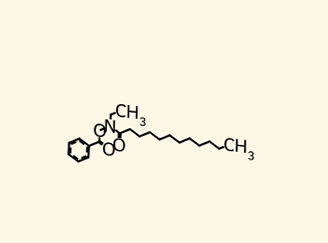 CCCCCCCCCCCC(=O)N(CC)OC(=O)c1ccccc1